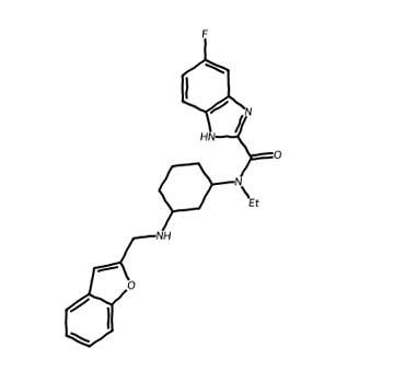 CCN(C(=O)c1nc2cc(F)ccc2[nH]1)C1CCCC(NCc2cc3ccccc3o2)C1